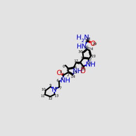 Cc1c(C(=O)NCCN2CCCCC2)c[nH]c1C=C1C(=O)Nc2ccc(NC(N)=O)cc21